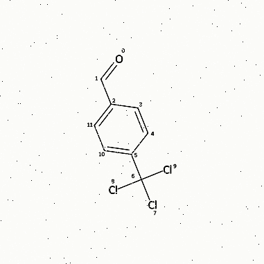 O=Cc1ccc(C(Cl)(Cl)Cl)cc1